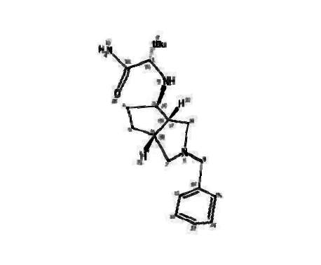 CC(C)(C)[C@H](N[C@@H]1CC[C@H]2CN(Cc3ccccc3)C[C@H]21)C(N)=O